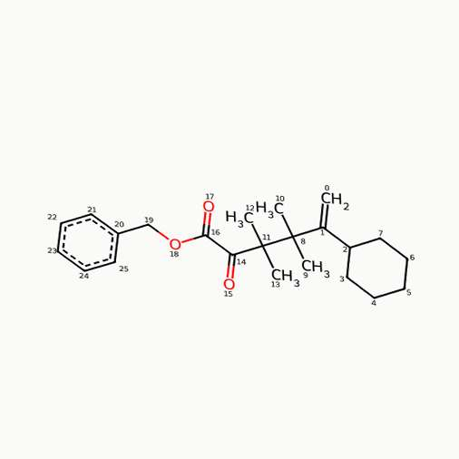 C=C(C1CCCCC1)C(C)(C)C(C)(C)C(=O)C(=O)OCc1ccccc1